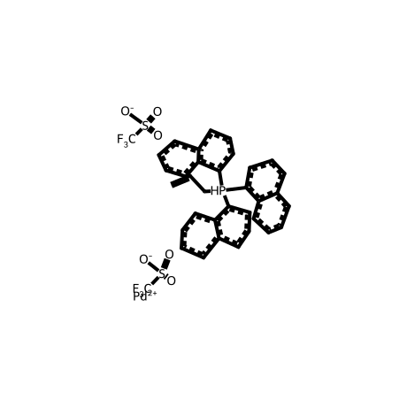 C=CC[PH](c1cccc2ccccc12)(c1cccc2ccccc12)c1cccc2ccccc12.O=S(=O)([O-])C(F)(F)F.O=S(=O)([O-])C(F)(F)F.[Pd+2]